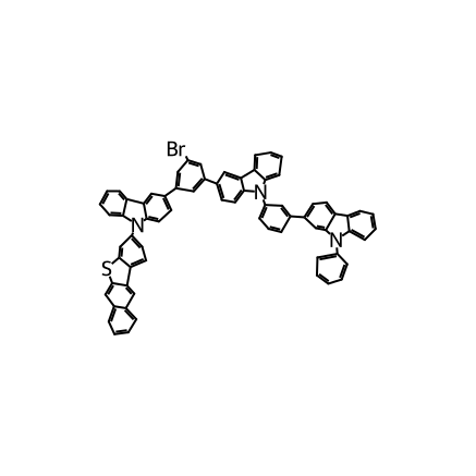 Brc1cc(-c2ccc3c(c2)c2ccccc2n3-c2cccc(-c3ccc4c5ccccc5n(-c5ccccc5)c4c3)c2)cc(-c2ccc3c(c2)c2ccccc2n3-c2ccc3c(c2)sc2cc4ccccc4cc23)c1